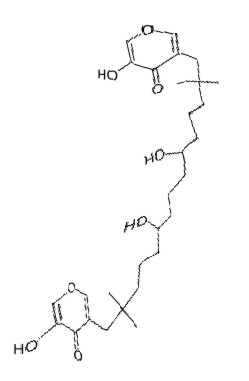 CC(C)(CCCC(O)CCCC(O)CCCC(C)(C)Cc1cocc(O)c1=O)Cc1cocc(O)c1=O